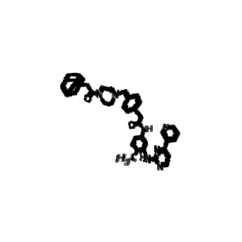 Cc1ccc(NC(=O)Cc2ccc(CN3CCN(C(=O)CC45CC6CC(CC(C6)C4)C5)CC3)cc2)cc1Nc1nccc(-c2cccnc2)n1